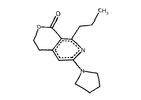 CCCc1nc(N2CCCC2)cc2c1C(=O)OCC2